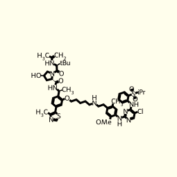 C=C(C)N[C@H](C(=O)N1C[C@H](O)C[C@H]1C(=O)N[C@@H](C)c1ccc(-c2scnc2C)cc1OCCCCCNCCc1cc(OC)c(Nc2ncc(Cl)c(Nc3ccccc3S(=O)(=O)C(C)C)n2)cc1C)C(C)(C)C